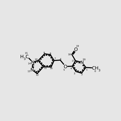 Cc1ccc(OCc2ccc3c(cnn3C)c2)c(C=O)n1